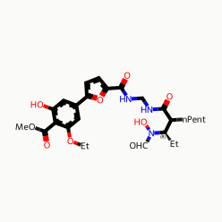 CCCCCC(C(=O)NCNC(=O)c1ccc(-c2cc(O)c(C(=O)OC)c(OCC)c2)o1)[C@@H](CC)N(O)C=O